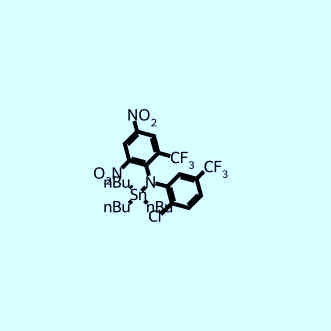 CCC[CH2][Sn]([CH2]CCC)([CH2]CCC)[N](c1cc(C(F)(F)F)ccc1Cl)c1c([N+](=O)[O-])cc([N+](=O)[O-])cc1C(F)(F)F